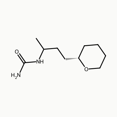 CC(CC[C@@H]1CCCCO1)NC(N)=O